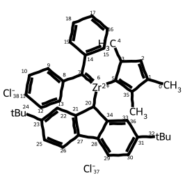 CC1=CC(C)[C]([Zr+2](=[C](c2ccccc2)c2ccccc2)[CH]2c3cc(C(C)(C)C)ccc3-c3ccc(C(C)(C)C)cc32)=C1C.[Cl-].[Cl-]